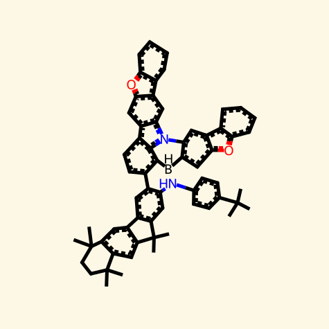 CC(C)(C)c1ccc(Nc2cc3c(cc2-c2ccc4c5cc6oc7ccccc7c6cc5n5c4c2Bc2cc4oc6ccccc6c4cc2-5)-c2cc4c(cc2C3(C)C)C(C)(C)CCC4(C)C)cc1